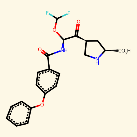 O=C(N[C@@H](OC(F)F)C(=O)[C@@H]1CN[C@H](C(=O)O)C1)c1ccc(Oc2ccccc2)cc1